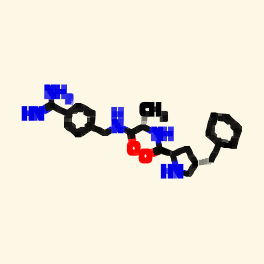 C[C@H](NC(=O)[C@H]1C[C@H](Cc2ccccc2)CN1)C(=O)NCc1ccc(C(=N)N)cc1